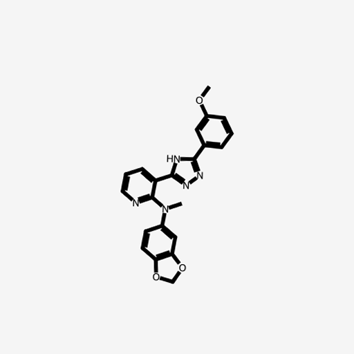 COc1cccc(-c2nnc(-c3cccnc3N(C)c3ccc4c(c3)OCO4)[nH]2)c1